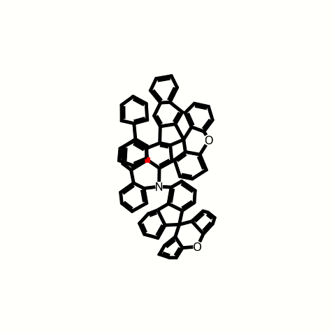 c1ccc(-c2ccc(-c3ccccc3N(c3cccc4c3-c3ccccc3C43c4ccccc4Oc4ccccc43)c3cc4c(c5ccccc35)-c3cc5ccccc5cc3C43c4ccccc4Oc4ccccc43)cc2)cc1